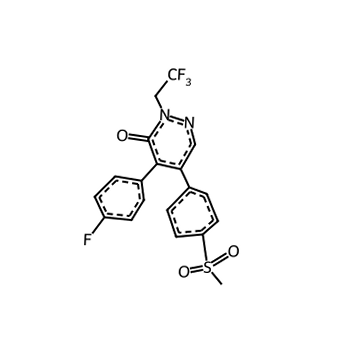 CS(=O)(=O)c1ccc(-c2cnn(CC(F)(F)F)c(=O)c2-c2ccc(F)cc2)cc1